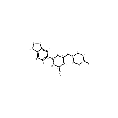 CN1CCN(CC2CN(c3ncc4sccc4n3)CC(Cl)O2)CC1